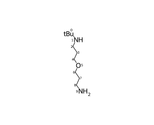 CC(C)(C)NCCCOCCCN